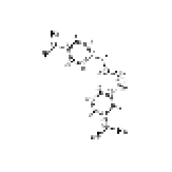 FC(F)c1ccc(CO/N=[C]\c2cccc(C(F)F)c2)cc1